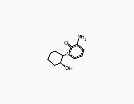 Nc1cccn([C@@H]2CCCC[C@@H]2O)c1=O